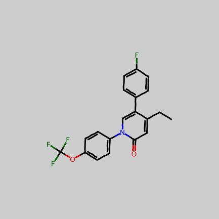 CCc1cc(=O)n(-c2ccc(OC(F)(F)F)cc2)cc1-c1ccc(F)cc1